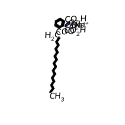 CC(=O)[O-].O=C(O)/C=C/C(=O)O.O=C([O-])c1ccccc1.[CH2]CCCCCCCCCCCCCCCCC.[Na+].[Na+]